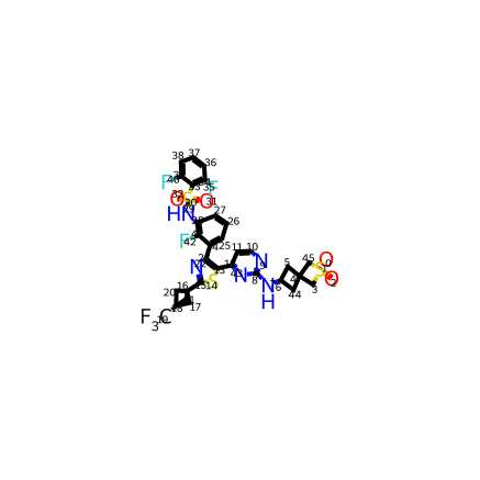 O=S1(=O)CC2(CC(Nc3nccc(-c4sc(C56CC(C(F)(F)F)(C5)C6)nc4-c4cccc(NS(=O)(=O)c5c(F)cccc5F)c4F)n3)C2)C1